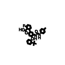 Cc1ccc(NC(=O)Nc2cc(-c3cccc(F)c3C(=O)O)ccc2Oc2ccccc2C(C)(C)C)cc1